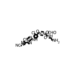 N#CCn1cc(-c2cnc3c(Nc4ccc(C(=O)N5CCN(C(OC=O)C(=O)NCCCN)CC5)c(Cl)c4)nccn23)c(C(F)(F)F)n1